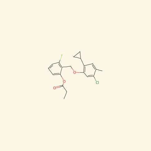 CCC(=O)Oc1cccc(F)c1COc1cc(Cl)c(C)cc1C1CC1